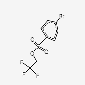 O=S(=O)(OCC(F)(F)F)c1ccc(Br)cc1